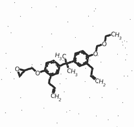 C=CCc1cc(C(C)(C)c2ccc(OCC3CO3)c(CC=C)c2)ccc1OCOCC